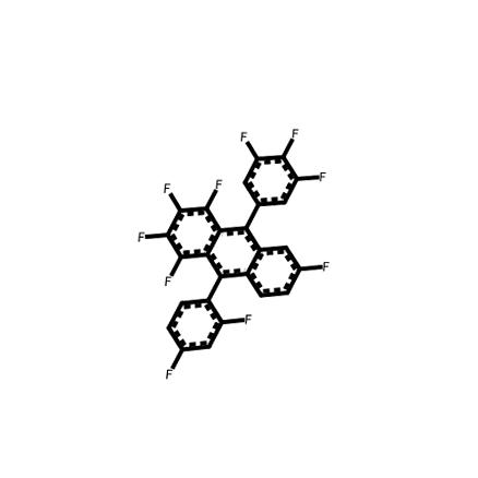 Fc1ccc(-c2c3ccc(F)cc3c(-c3cc(F)c(F)c(F)c3)c3c(F)c(F)c(F)c(F)c23)c(F)c1